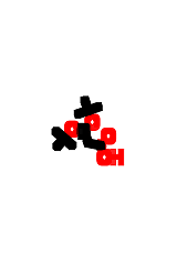 CC(C)(C)OB(CC(=O)O)OC(C)(C)C